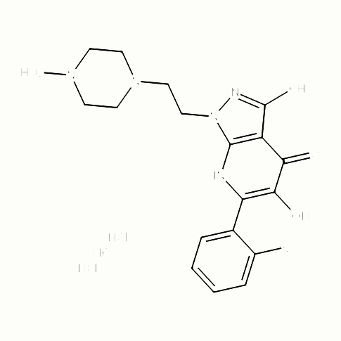 Cc1nn(CCN2CCN(C)CC2)c2[nH]c(-c3ccccc3Cl)c(O)c(=O)c12.Cl.Cl.Cl